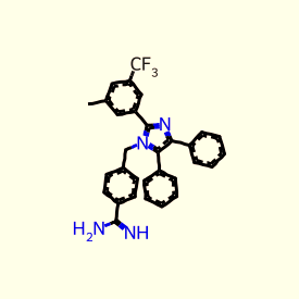 Cc1cc(-c2nc(-c3ccccc3)c(-c3ccccc3)n2Cc2ccc(C(=N)N)cc2)cc(C(F)(F)F)c1